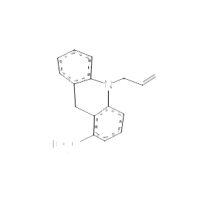 C=CCN1c2ccccc2Cc2c(C(=O)O)cccc21